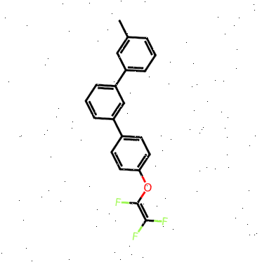 Cc1cccc(-c2cccc(-c3ccc(OC(F)=C(F)F)cc3)c2)c1